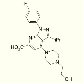 CC(C)c1nn(-c2ccc(F)cc2)c2nc(C(=O)O)cc(N3CCN(CCO)CC3)c12